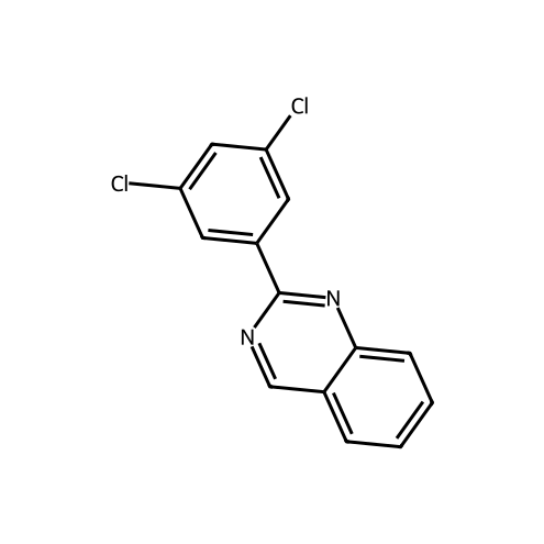 Clc1cc(Cl)cc(-c2ncc3ccccc3n2)c1